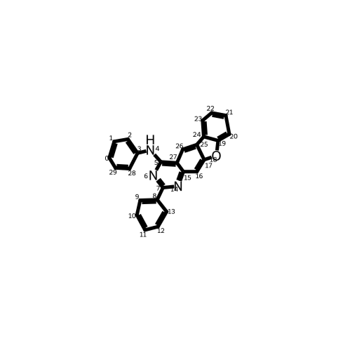 c1ccc(Nc2nc(-c3ccccc3)nc3cc4oc5ccccc5c4cc23)cc1